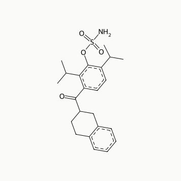 CC(C)c1ccc(C(=O)C2CCc3ccccc3C2)c(C(C)C)c1OS(N)(=O)=O